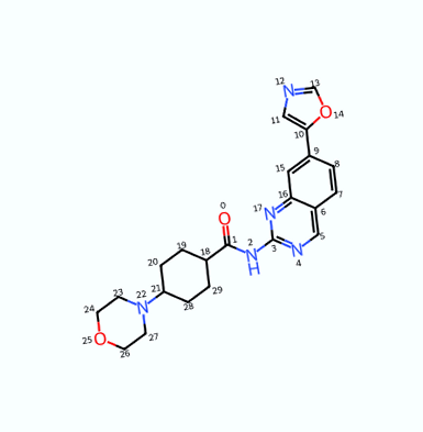 O=C(Nc1ncc2ccc(-c3cnco3)cc2n1)C1CCC(N2CCOCC2)CC1